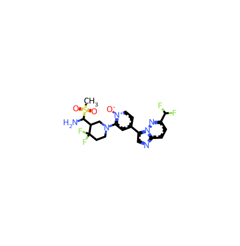 CS(=O)(=O)C(N)C1CN(c2cc(-c3cnc4ccc(C(F)F)nn34)cc[n+]2[O-])CCC1(F)F